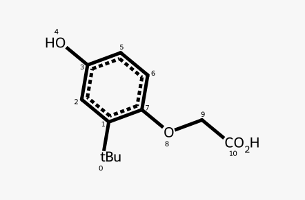 CC(C)(C)c1cc(O)ccc1OCC(=O)O